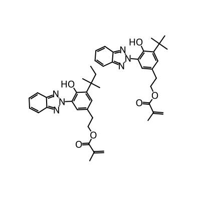 C=C(C)C(=O)OCCc1cc(-n2nc3ccccc3n2)c(O)c(C(C)(C)C)c1.C=C(C)C(=O)OCCc1cc(-n2nc3ccccc3n2)c(O)c(C(C)(C)CC)c1